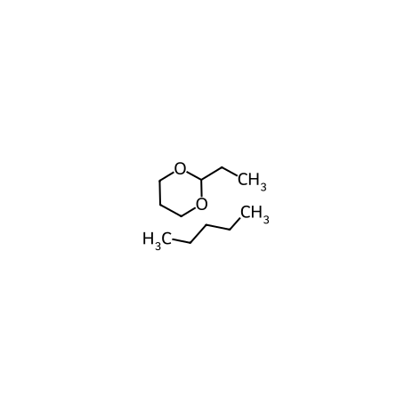 CCC1OCCCO1.CCCCC